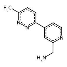 NCc1cc(-c2ccc(C(F)(F)F)nn2)ccn1